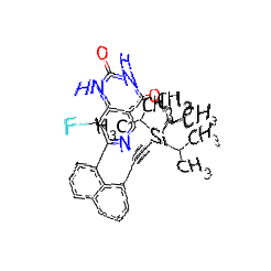 CC(C)[Si](C#Cc1cccc2cccc(-c3ncc4c(=O)[nH]c(=O)[nH]c4c3F)c12)(C(C)C)C(C)C